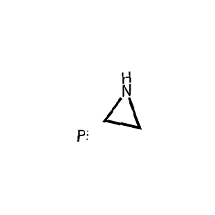 C1CN1.[P]